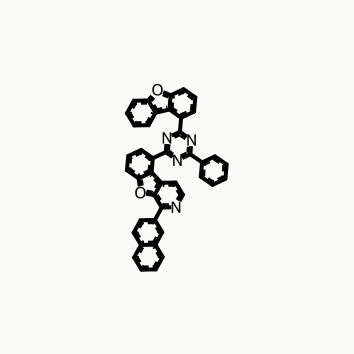 c1ccc(-c2nc(-c3cccc4oc5ccccc5c34)nc(-c3cccc4oc5c(-c6ccc7ccccc7c6)nccc5c34)n2)cc1